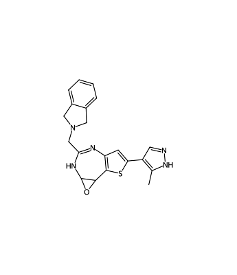 Cc1[nH]ncc1-c1cc2c(s1)C1OC1NC(CN1Cc3ccccc3C1)=N2